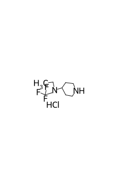 CCN(CC(F)(F)F)C1CCNCC1.Cl